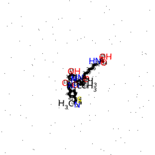 Cc1ncsc1-c1ccc(CNC(=O)[C@@H]2C[C@@H](O)CN2C(=O)[C@@H](NC(=O)CCCCCCNC(=O)O)C(C)(C)C)cc1